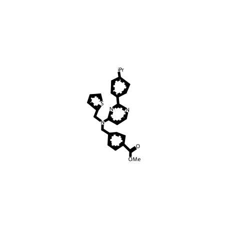 COC(=O)c1ccc(CN(Cc2cccs2)c2ccnc(-c3ccc(C(C)C)cc3)n2)cc1